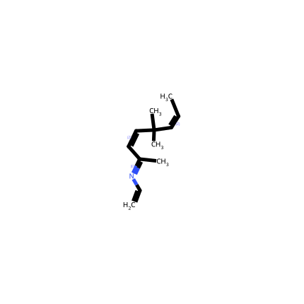 C=C/N=C(C)/C=C\C(C)(C)/C=C\C